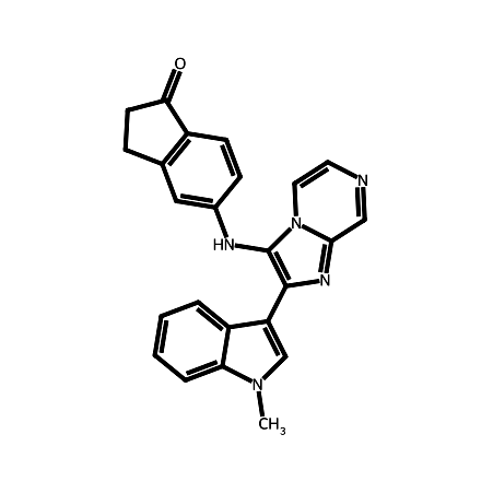 Cn1cc(-c2nc3cnccn3c2Nc2ccc3c(c2)CCC3=O)c2ccccc21